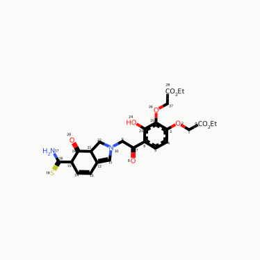 CCOC(=O)COc1ccc(C(=O)CN2C=C3C=CC(C(N)=S)C(=O)C3C2)c(O)c1OCC(=O)OCC